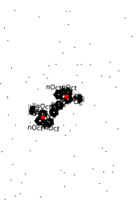 CCCCCCCCC1(CCCCCCCC)c2cc(N(c3ccc(B4OC(C)(C)C(C)(C)O4)cc3)c3cccc4c3-c3ccccc3C4(CCCCCCCC)CCCCCCCC)ccc2-c2ccc(N(c3ccc(B4OC(C)(C)C(C)(C)O4)cc3)c3cccc4c3-c3ccccc3C4(CCCCCCCC)CCCCCCCC)cc21